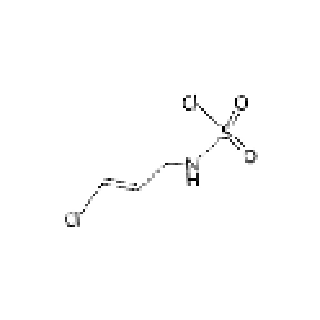 O=S(=O)(Cl)NCC=CCl